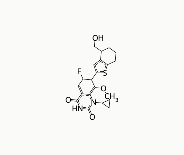 COC1=c2c(c(=O)[nH]c(=O)n2C2CC2)=CC(F)C1c1cc2c(s1)CCCC2CO